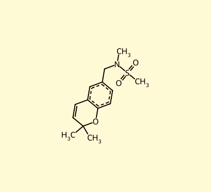 CN(Cc1ccc2c(c1)C=CC(C)(C)O2)S(C)(=O)=O